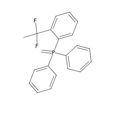 C=P(c1ccccc1)(c1ccccc1)c1ccccc1C(C)(F)F